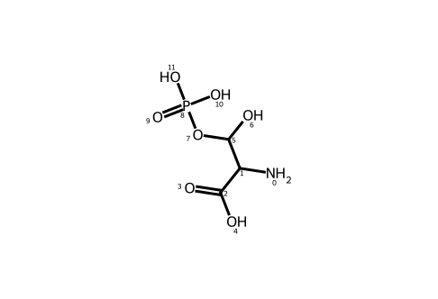 NC(C(=O)O)C(O)OP(=O)(O)O